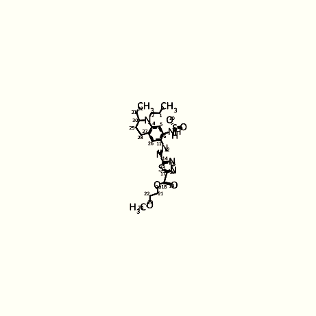 CCCN1c2cc(N[SH](=O)=O)c(N=Nc3nnc(C(=O)OCCOC)s3)cc2CCC1CC